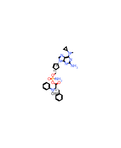 CON(c1ccccc1)[C@@H](Cc1ccccc1)C(=O)OP(N)(=O)OC[C@@H]1C=C[C@H](n2cnc3c(N(C)C4CC4)nc(N)nc32)C1